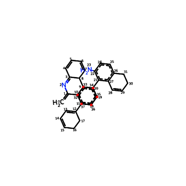 C=C(/N=C1/C=CC=CC1c1cc(C2=CC=CCC2)ccc1-c1c(N)ccc2c1C=CCC2)c1ccccc1